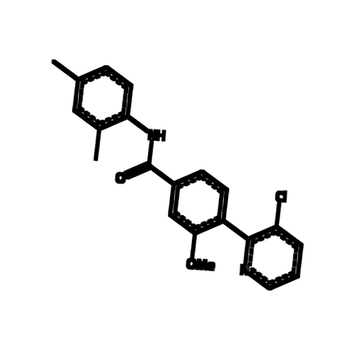 COc1cc(C(=O)Nc2ccc(C)cc2C)ccc1-c1ncccc1Cl